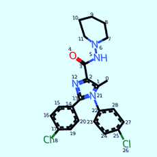 Cc1c(C(=O)NN2CCCCC2)nc(-c2ccc(Cl)cc2)n1-c1ccc(Cl)cc1